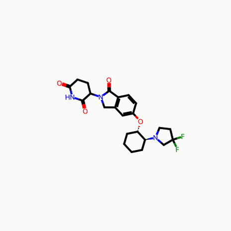 O=C1CCC(N2Cc3cc(O[C@H]4CCCC[C@@H]4N4CCC(F)(F)C4)ccc3C2=O)C(=O)N1